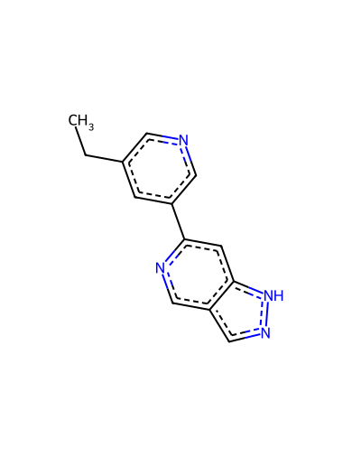 CCc1cncc(-c2cc3[nH]ncc3cn2)c1